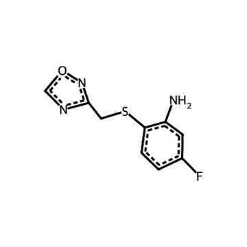 Nc1cc(F)ccc1SCc1ncon1